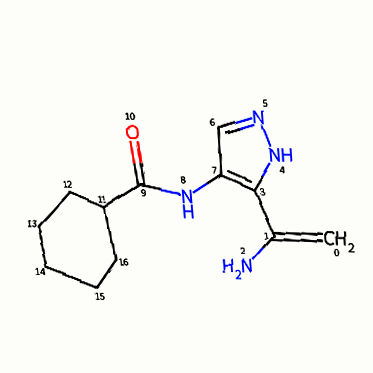 C=C(N)c1[nH]ncc1NC(=O)C1CCCCC1